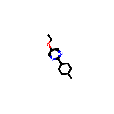 CCOc1cnc(C2CCC(C)CC2)nc1